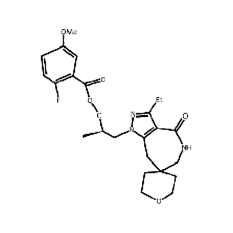 CCc1nn(C[C@@H](C)COC(=O)c2cc(OC)ccc2F)c2c1C(=O)NCC1(CCOCC1)C2